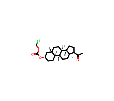 CC(=O)C1CC[C@H]2[C@@H]3CC[C@H]4C[C@H](OC(=O)OCCl)CC[C@]4(C)[C@H]3CC[C@]12C